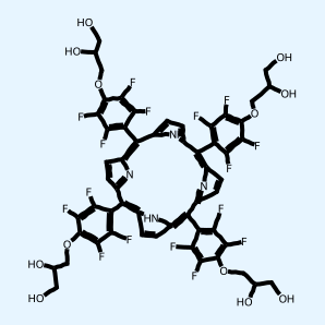 OCC(O)COc1c(F)c(F)c(-c2c3nc(c(-c4c(F)c(F)c(OCC(O)CO)c(F)c4F)c4ccc([nH]4)c(-c4c(F)c(F)c(OCC(O)CO)c(F)c4F)c4nc(c(-c5c(F)c(F)c(OCC(O)CO)c(F)c5F)c5ccc2[nH]5)C=C4)C=C3)c(F)c1F